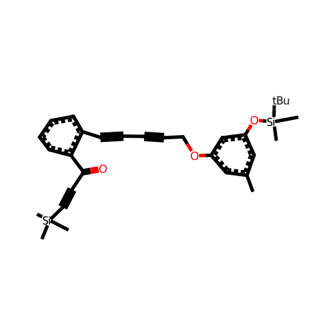 Cc1cc(OCC#CC#Cc2ccccc2C(=O)C#C[Si](C)(C)C)cc(O[Si](C)(C)C(C)(C)C)c1